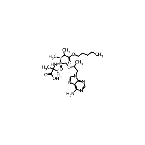 CCCCCOC(=O)C(C)N(C)P(=O)(COC(C)Cn1cnc2c(N)ncnc21)NC(C)(C)C(=O)O